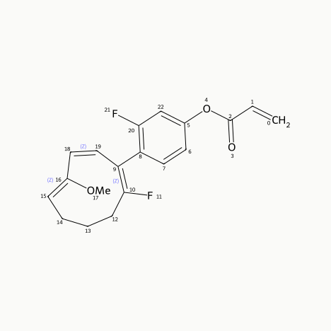 C=CC(=O)Oc1ccc(C2=C(\F)CCC/C=C(OC)/C=C\2)c(F)c1